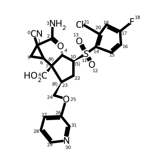 N#CC1(C(N)=O)CC1[C@]1(C(=O)O)C[C@@H](S(=O)(=O)c2ccc(F)cc2Cl)C[C@H]1COc1cccnc1